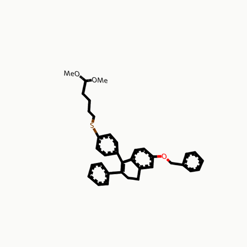 COC(CCCCSc1ccc(C2=C(c3ccccc3)CCc3cc(OCc4ccccc4)ccc32)cc1)OC